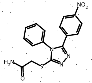 NC(=O)CSc1nnc(-c2ccc([N+](=O)[O-])cc2)n1-c1ccccc1